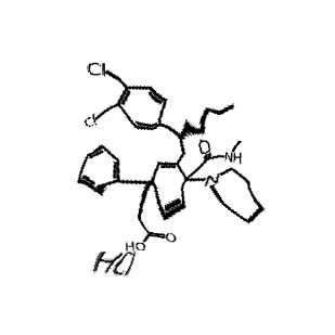 CCCC(C1=CC(CC(=O)O)(c2ccccc2)C=CC1(C(=O)NC)N1CCCCC1)c1ccc(Cl)c(Cl)c1.Cl